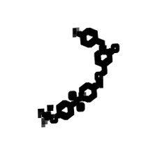 O=c1cc(CON=C2CCN(S(=O)(=O)c3ccc(OC(F)(F)F)cc3)CC2)ccn1Cc1ccc(F)cc1